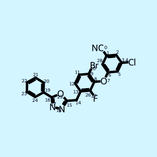 N#Cc1cc(Cl)cc(Oc2c(Br)ccc(Cc3nnc(-c4ccccc4)o3)c2F)c1